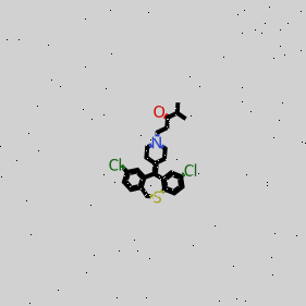 CC(C)C(=O)CCN1CCC(=C2c3cc(Cl)ccc3CSc3ccc(Cl)cc32)CC1